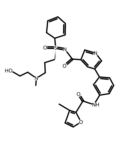 Cc1ccoc1C(=O)Nc1cccc(-c2cncc(C(=O)N=[S@](=O)(CCCN(C)CCO)C3C=CC=CC3)c2)c1